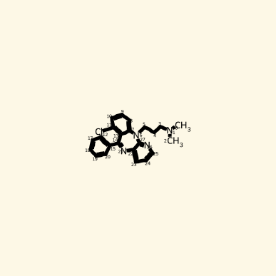 CN(C)CCCN1c2cccc(Cl)c2C(c2ccccc2)=Nc2cccnc21